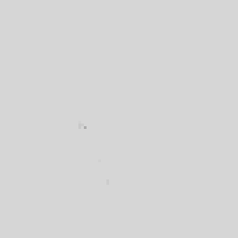 CC(N=[N+]=[N-])C(NC(=O)OCC1c2ccccc2-c2ccccc21)C(=O)O